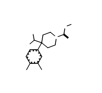 CCOC(=O)C(C#N)C1(c2ccc(C)c(C)c2)CCN(C(=O)OC(C)(C)C)CC1